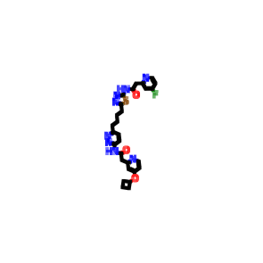 O=C(Cc1cc(OC2CCC2)ccn1)Nc1ccc(CCCCc2nnc(NC(=O)Cc3cc(F)ccn3)s2)nn1